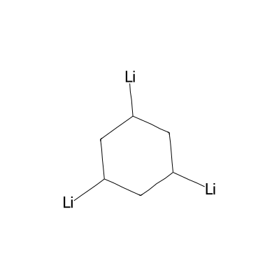 [Li][CH]1C[CH]([Li])C[CH]([Li])C1